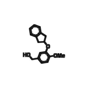 COc1ccc(CO)cc1OC1Cc2ccccc2C1